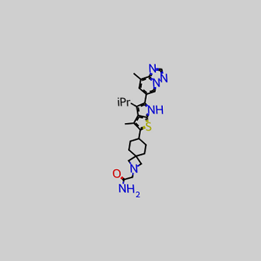 Cc1c(C2CCC3(CC2)CN(CC(N)=O)C3)sc2[nH]c(-c3cc(C)c4ncnn4c3)c(C(C)C)c12